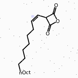 CCCCCCCCCCCCCC/C=C\C1C(=O)OC1=O